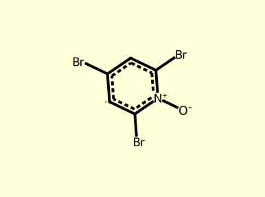 [O-][n+]1c(Br)[c]c(Br)cc1Br